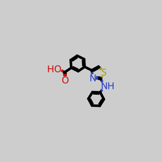 O=C(O)c1cccc(-c2csc(Nc3ccccc3)n2)c1